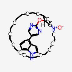 [O-][N+]12CCCCCCCCCCCCCCCCCCCCCC(CC1)[C@@H](Oc1ncc(-c3cccc4[nH]ccc34)cn1)C2